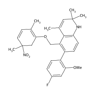 COc1cc(F)ccc1-c1ccc2c(c1COC1=C(C)C=CC(C)([N+](=O)[O-])C1)C(C)=CC(C)(C)N2